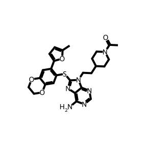 CC(=O)N1CCC(CCn2c(Sc3cc4c(cc3-c3ccc(C)o3)OCCO4)nc3c(N)ncnc32)CC1